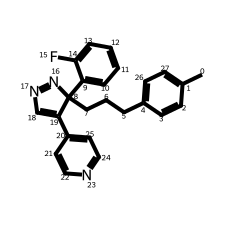 Cc1ccc(CCCC2(c3ccccc3F)N=NC=C2c2ccncc2)cc1